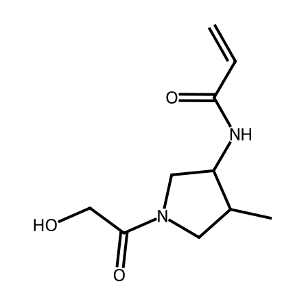 C=CC(=O)NC1CN(C(=O)CO)CC1C